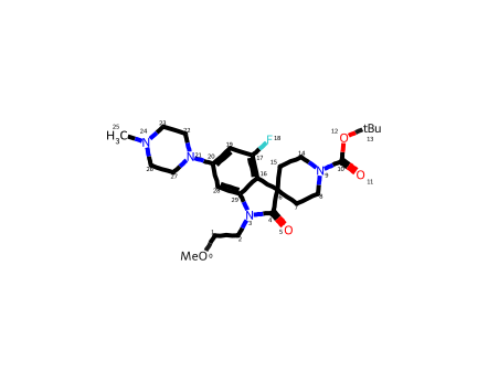 COCCN1C(=O)C2(CCN(C(=O)OC(C)(C)C)CC2)c2c(F)cc(N3CCN(C)CC3)cc21